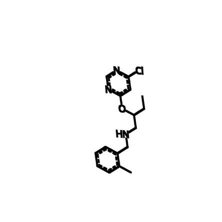 CCC(CNCc1ccccc1C)Oc1cc(Cl)ncn1